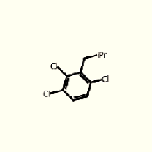 CC(C)Cc1c(Cl)ccc(Cl)c1Cl